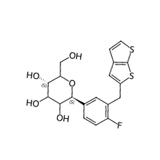 OCC1O[C@@H](c2ccc(F)c(Cc3cc4ccsc4s3)c2)C(O)C(O)[C@@H]1O